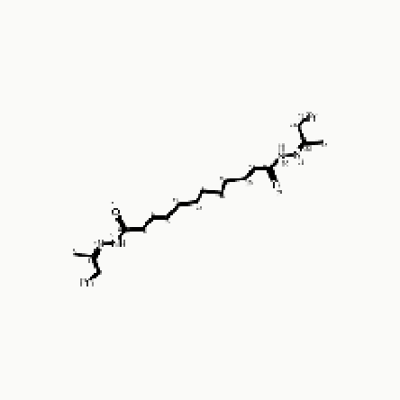 C/C(CC(C)C)=N/NC(=O)CCCCCCCCCCC(=O)N/N=C(/C)CC(C)C